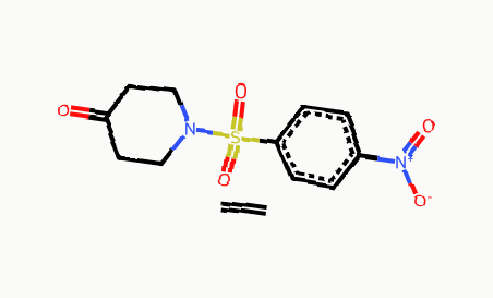 C=C.O=C1CCN(S(=O)(=O)c2ccc([N+](=O)[O-])cc2)CC1